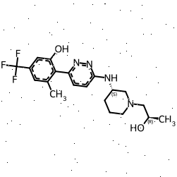 Cc1cc(C(F)(F)F)cc(O)c1-c1ccc(N[C@H]2CCCN(C[C@@H](C)O)C2)nn1